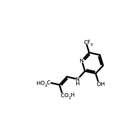 O=C(O)C(=CNc1nc(C(F)(F)F)ccc1O)C(=O)O